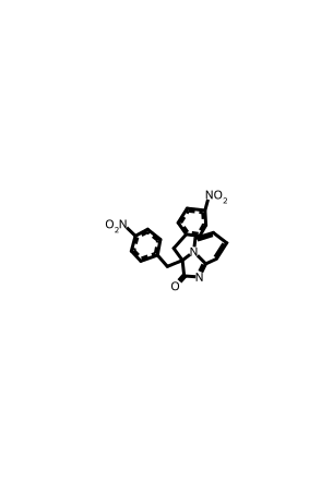 O=C1N=C2C=CC=CN2C1(Cc1ccc([N+](=O)[O-])cc1)Cc1ccc([N+](=O)[O-])cc1